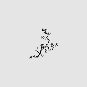 O=C([O-])O.O=C([O-])O.O=C([O-])O.O=C([O-])O.O=P([O-])([O-])[O-].[Al+3].[Na+].[Na+].[Na+].[Na+]